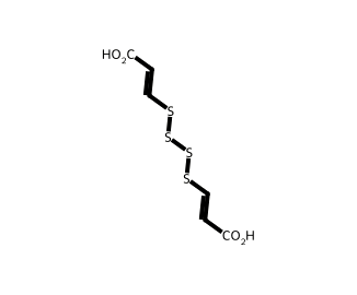 O=C(O)C=CSSSSC=CC(=O)O